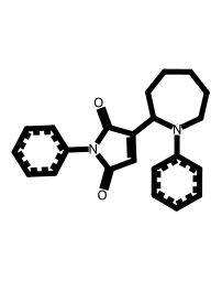 O=C1C=C(C2CCCCCN2c2ccccc2)C(=O)N1c1ccccc1